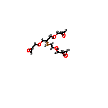 C(CSC(COCC1CO1)COCC1CO1)OCC1CO1